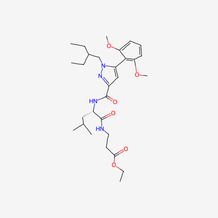 CCOC(=O)CCNC(=O)[C@H](CC(C)C)NC(=O)c1cc(-c2c(OC)cccc2OC)n(CC(CC)CC)n1